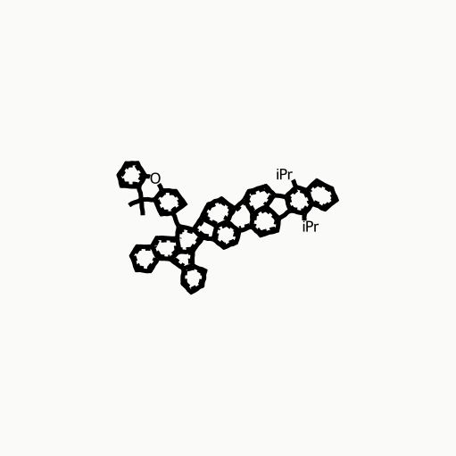 CC(C)c1c2c(c(C(C)C)c3ccccc13)-c1ccc3c4ccc5c6c(ccc(c7ccc-2c1c73)c46)c1c(-c2ccc3c(c2)C(C)(C)c2ccccc2O3)c2cc3ccccc3c3c4ccccc4c(c51)c23